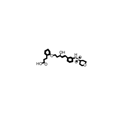 O=C(O)CCc1ccccc1OCC[C@@H](O)/C=C/c1cccc(NS(=O)(=O)C2CCOCC2)c1